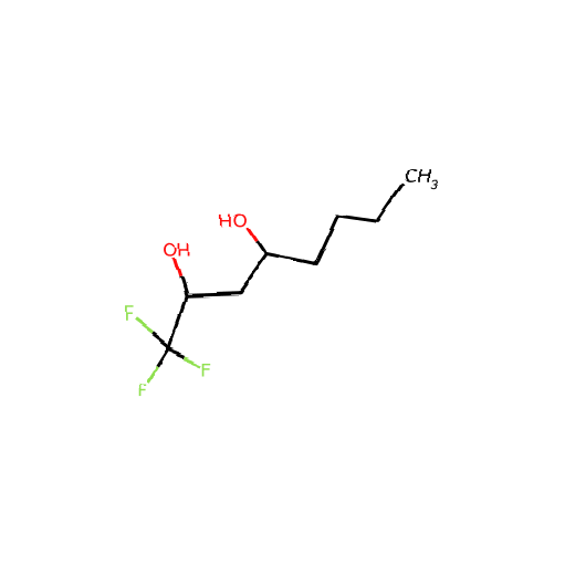 CCCCC(O)CC(O)C(F)(F)F